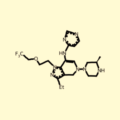 CCc1nn(CCOCC(F)(F)F)c2c1CN(N1CCN[C@H](C)C1)C=C2Nc1ccncn1